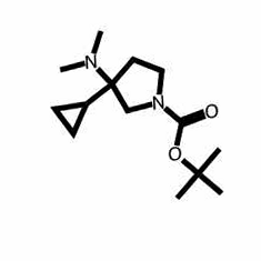 CN(C)C1(C2CC2)CCN(C(=O)OC(C)(C)C)C1